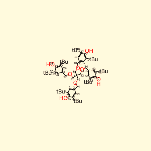 CC(C)(C)c1cc(COCC(COCc2cc(C(C)(C)C)c(O)c(C(C)(C)C)c2)(COCc2cc(C(C)(C)C)c(O)c(C(C)(C)C)c2)COCc2cc(C(C)(C)C)c(O)c(C(C)(C)C)c2)cc(C(C)(C)C)c1O